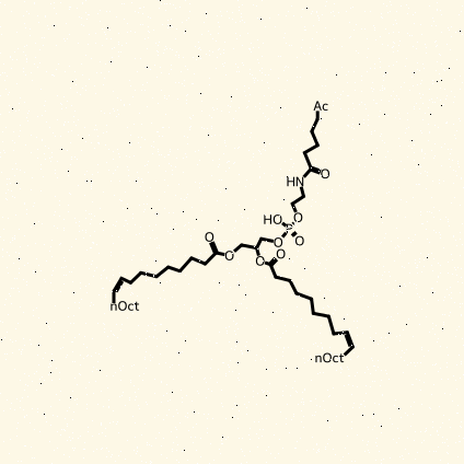 CCCCCCCC/C=C\CCCCCCCC(=O)OCC(COP(=O)(O)OCCNC(=O)CCCCC(C)=O)OC(=O)CCCCCCC/C=C\CCCCCCCC